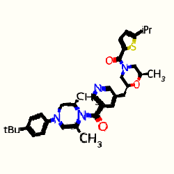 CC(C)c1ccc(C(=O)N2C[C@H](Cc3cncc(C(=O)N4[C@H](C)CN(c5ccc(C(C)(C)C)cc5)C[C@@H]4C)c3)O[C@H](C)C2)s1